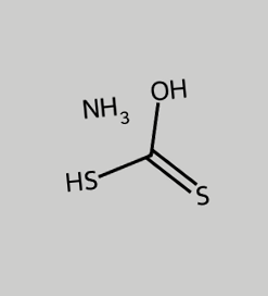 N.OC(=S)S